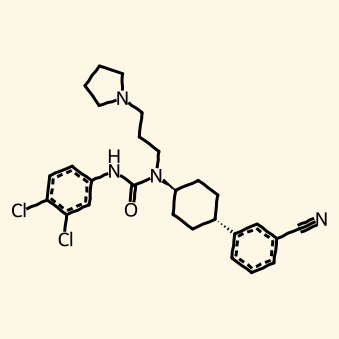 N#Cc1cccc([C@H]2CC[C@H](N(CCCN3CCCC3)C(=O)Nc3ccc(Cl)c(Cl)c3)CC2)c1